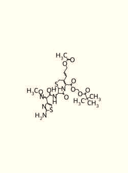 CO/N=C(\C(=O)N[C@@H]1C(=O)N2C(C(=O)OCOC(=O)C(C)(C)C)=C(/C=C/COC(C)=O)CS[C@H]12)c1csc(N)n1